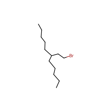 CCCCCC(CCBr)CCCCC